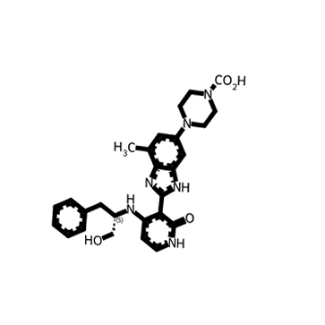 Cc1cc(N2CCN(C(=O)O)CC2)cc2[nH]c(-c3c(N[C@H](CO)Cc4ccccc4)cc[nH]c3=O)nc12